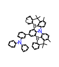 Cc1ccc2c3c1C(C)(C)c1ccccc1B3c1cc(-c3cccc(N(c4ccccc4)c4ccccc4)c3)cc3c1N2c1ccc(C)c2c1B3c1ccccc1C2(C)C